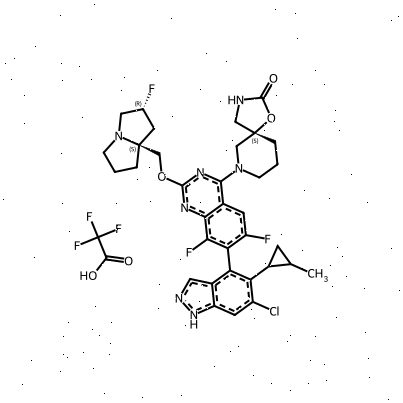 CC1CC1c1c(Cl)cc2[nH]ncc2c1-c1c(F)cc2c(N3CCC[C@]4(CNC(=O)O4)C3)nc(OC[C@@]34CCCN3C[C@H](F)C4)nc2c1F.O=C(O)C(F)(F)F